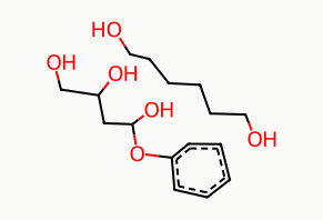 OCC(O)CC(O)Oc1ccccc1.OCCCCCCO